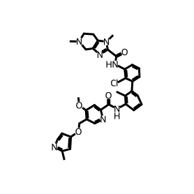 COc1cc(C(=O)Nc2cccc(-c3cccc(NC(=O)c4nc5c(n4C)CCN(C)C5)c3Cl)c2C)ncc1COc1ccnc(C)c1